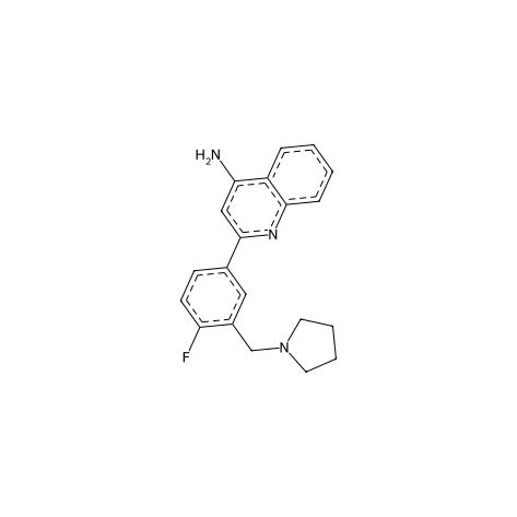 Nc1cc(-c2ccc(F)c(CN3CCCC3)c2)nc2ccccc12